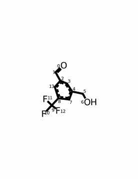 O=Cc1cc(CO)cc(C(F)(F)F)c1